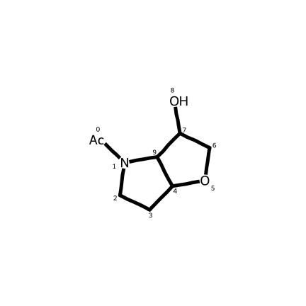 CC(=O)N1CCC2OCC(O)C21